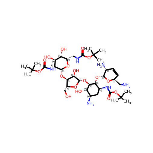 CC(C)(C)OC(=O)NC[C@@H]1O[C@H](O[C@H]2[C@@H](O)[C@H](O[C@@H]3[C@@H](O)[C@H](N)C[C@H](NC(=O)OC(C)(C)C)[C@H]3O[C@H]3O[C@H](CN)C=C[C@H]3N)O[C@@H]2CO)[C@H](NC(=O)OC(C)(C)C)[C@@H](O)[C@@H]1O